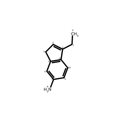 CCC1=CCc2cc(N)ccc21